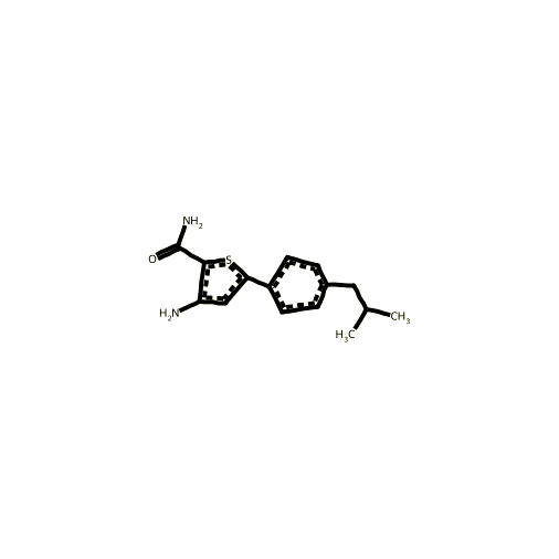 CC(C)Cc1ccc(-c2cc(N)c(C(N)=O)s2)cc1